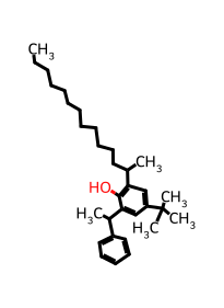 CCCCCCCCCCCCC(C)c1cc(C(C)(C)C)cc(C(C)c2ccccc2)c1O